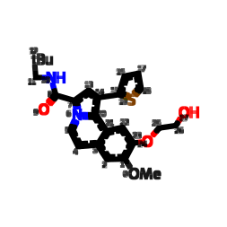 COc1cc2ccn3c(C(=O)NCC(C)(C)C)cc(-c4cccs4)c3c2cc1OCCO